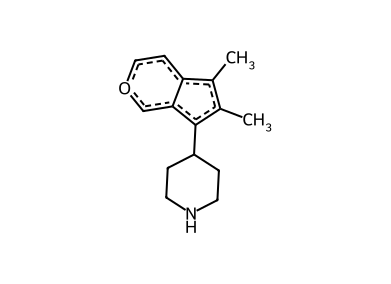 Cc1c2ccocc-2c(C2CCNCC2)c1C